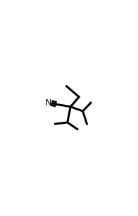 CCC(C#N)(C(C)C)C(C)C